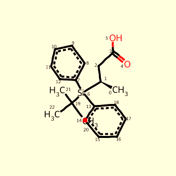 C[C@H](CC(=O)O)[Si](c1ccccc1)(c1ccccc1)C(C)(C)C